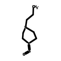 [CH2]CCN1CCS(=S=O)CC1